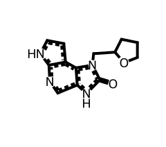 O=c1[nH]c2cnc3[nH]ccc3c2n1CC1CCCO1